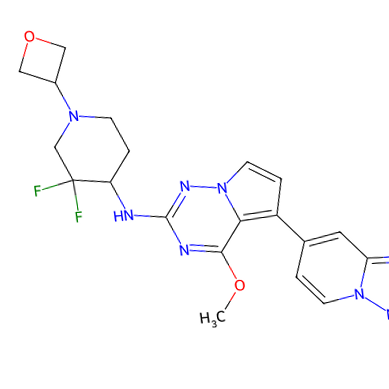 COc1nc(NC2CCN(C3COC3)CC2(F)F)nn2ccc(-c3ccn4ncnc4c3)c12